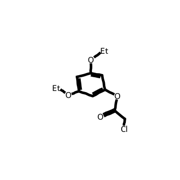 CCOc1cc(OCC)cc(OC(=O)CCl)c1